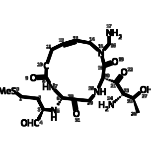 CSCC[C@H](C=O)N[C@@H]1NC(=O)CCC=CCN(CN)C(=O)[C@H](C(=O)[C@@H](N)[C@H](C)O)NCC1=O